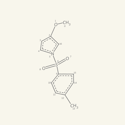 COc1ccn(S(=O)(=O)c2ccc(C)cc2)c1